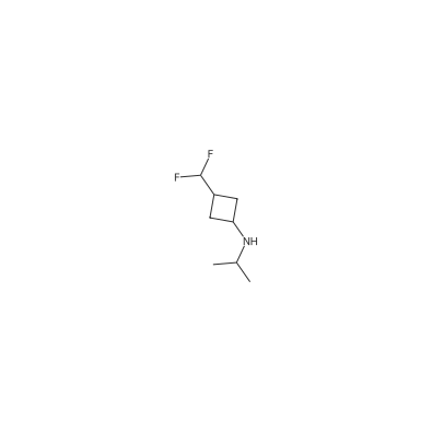 CC(C)NC1CC(C(F)F)C1